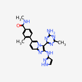 CNC(=O)c1ccc(-c2ccc3nc(Nc4cc[nH]n4)c(-c4nc(C)nc(N)n4)n3c2)c(C)c1